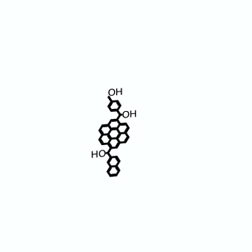 OCc1ccc(C(O)c2cc3ccc4ccc5c(C(O)c6ccc7ccccc7c6)cc6ccc7ccc2c2c7c6c5c4c32)cc1